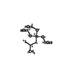 CCCCCCCCO[Si](CC(C)I)(OCCCCCCCC)OCCCCCCCC